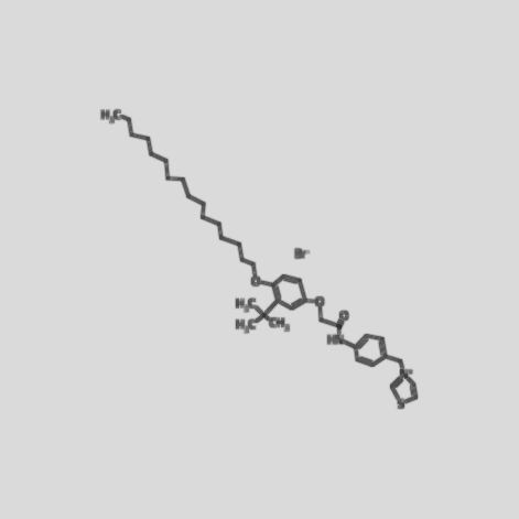 CCCCCCCCCCCCCCCCOc1ccc(OCC(=O)Nc2ccc(C[n+]3ccsc3)cc2)cc1C(C)(C)C.[Br-]